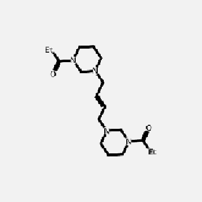 CCC(=O)N1CCCN(CC=CCN2CCCN(C(=O)CC)C2)C1